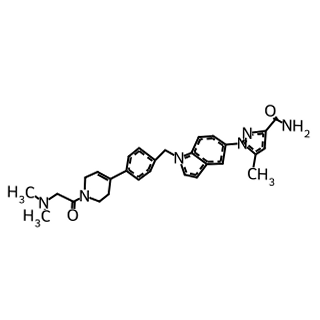 Cc1cc(C(N)=O)nn1-c1ccc2c(ccn2Cc2ccc(C3=CCN(C(=O)CN(C)C)CC3)cc2)c1